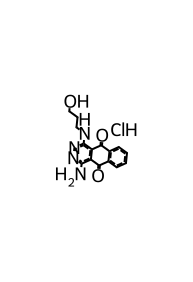 Cl.Nc1nnc(NCCCO)c2c1C(=O)c1ccccc1C2=O